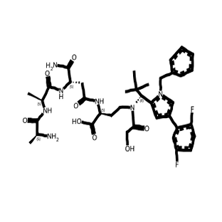 C[C@H](N)C(=O)N[C@@H](C)C(=O)N[C@@H](CC(=O)N[C@@H](CCN(C(=O)CO)[C@@H](c1cc(-c2cc(F)ccc2F)cn1Cc1ccccc1)C(C)(C)C)C(=O)O)C(N)=O